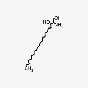 CCCCCCCCCCCCC/C=C/CC/C=C/C(O)C(N)CO